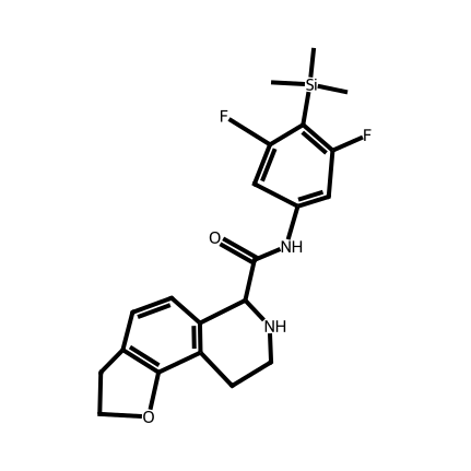 C[Si](C)(C)c1c(F)cc(NC(=O)C2NCCc3c2ccc2c3OCC2)cc1F